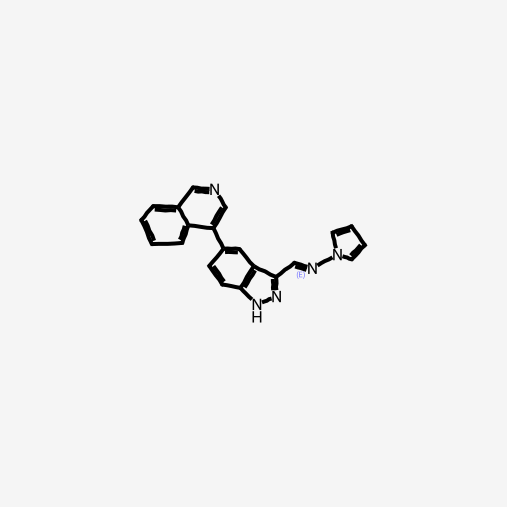 C(=N\n1cccc1)/c1n[nH]c2ccc(-c3cncc4ccccc34)cc12